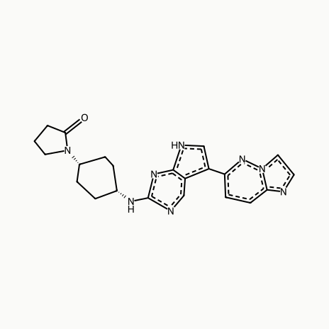 O=C1CCCN1[C@H]1CC[C@@H](Nc2ncc3c(-c4ccc5nccn5n4)c[nH]c3n2)CC1